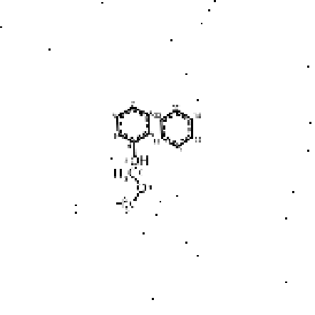 COC.Oc1ccccc1.c1ccccc1